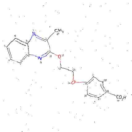 Cc1nc2ccccc2nc1OCCOc1ccc(C(=O)O)cc1